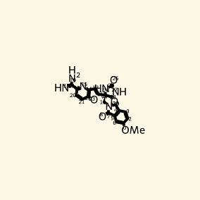 COc1ccc2c(c1)C(=O)N(C[C@@]1(c3cc4nc(C(=N)N)ccc4o3)NC(=O)NC1=O)C2